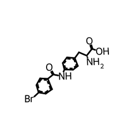 N[C@@H](Cc1ccc(NC(=O)c2ccc(Br)cc2)cc1)C(=O)O